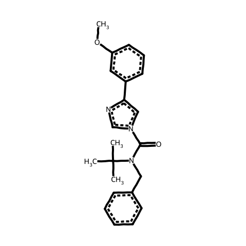 COc1cccc(-c2cn(C(=O)N(Cc3ccccc3)C(C)(C)C)cn2)c1